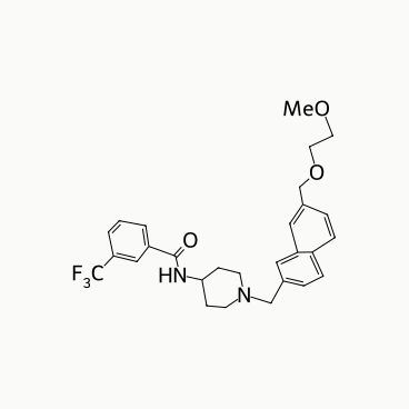 COCCOCc1ccc2ccc(CN3CCC(NC(=O)c4cccc(C(F)(F)F)c4)CC3)cc2c1